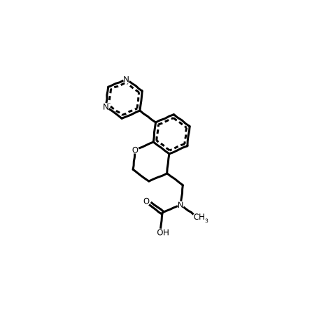 CN(CC1CCOc2c(-c3cncnc3)cccc21)C(=O)O